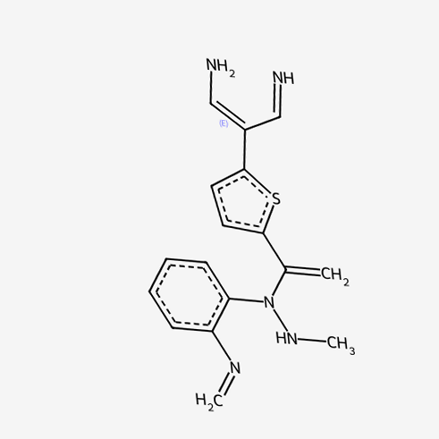 C=Nc1ccccc1N(NC)C(=C)c1ccc(/C(C=N)=C/N)s1